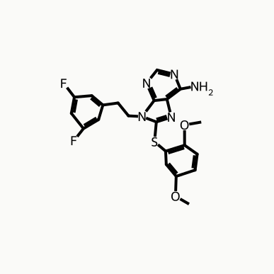 COc1ccc(OC)c(Sc2nc3c(N)ncnc3n2CCc2cc(F)cc(F)c2)c1